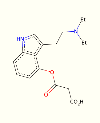 CCN(CC)CCc1c[nH]c2cccc(OC(=O)CC(=O)O)c12